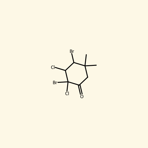 CC1(C)CC(=O)C(Cl)(Br)C(Cl)C1Br